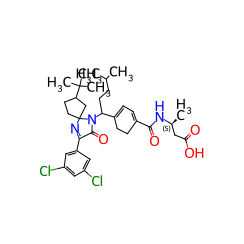 CC(C)CCC(C1=CC=C(C(=O)N[C@@H](C)CC(=O)O)CC1)N1C(=O)C(c2cc(Cl)cc(Cl)c2)=NC12CCC(C(C)(C)C)C2